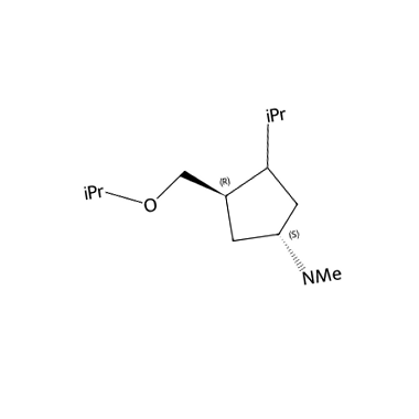 CN[C@H]1CC(C(C)C)[C@H](COC(C)C)C1